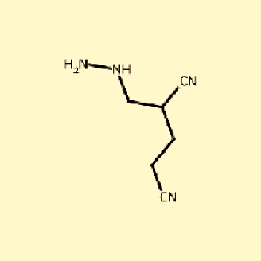 N#CCCC(C#N)CNN